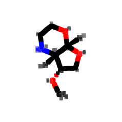 CO[C@H]1CO[C@H]2OCCN[C@H]21